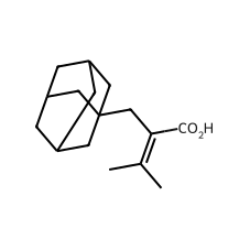 CC(C)=C(CC12CC3CC(CC(C3)C1)C2)C(=O)O